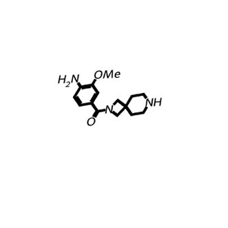 COc1cc(C(=O)N2CC3(CCNCC3)C2)ccc1N